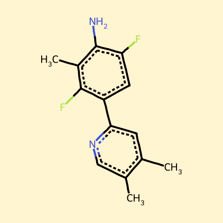 Cc1cnc(-c2cc(F)c(N)c(C)c2F)cc1C